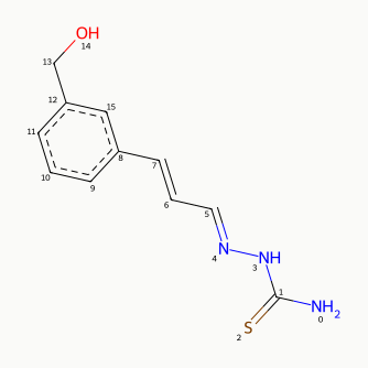 NC(=S)NN=CC=Cc1cccc(CO)c1